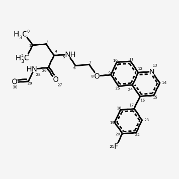 CC(C)CC(NCCOc1ccc2nccc(-c3ccc(F)cc3)c2c1)C(=O)NC=O